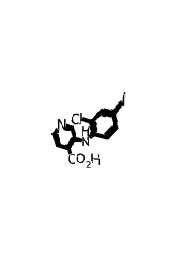 O=C(O)c1ccncc1Nc1ccc(I)cc1Cl